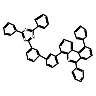 c1ccc(-c2nc(-c3ccccc3)nc(-c3cccc(-c4cccc(-c5cccc6c5nc(-c5ccccc5)c5cccc(-c7ccccc7)c56)c4)c3)n2)cc1